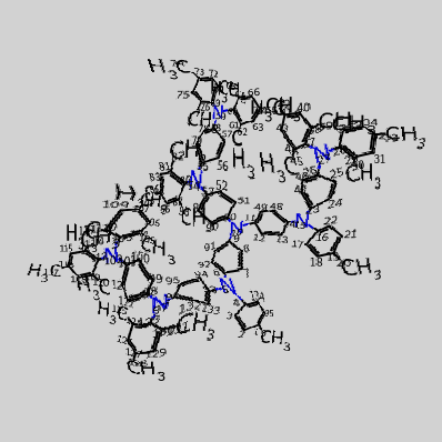 Cc1ccc(N(c2ccc(N(c3ccc(N(c4ccc(C)cc4)c4ccc(N(c5c(C)cc(C)cc5C)c5c(C)cc(C)cc5C)cc4)cc3)c3ccc(N(c4ccc(N(c5c(C)cc(C)cc5C)c5c(C)cc(C)cc5C)cc4)c4c(C)cc(C)cc4C)cc3)cc2)c2ccc(N(c3ccc(N(c4c(C)cc(C)cc4C)c4c(C)cc(C)cc4C)cc3)c3c(C)cc(C)cc3C)cc2)cc1